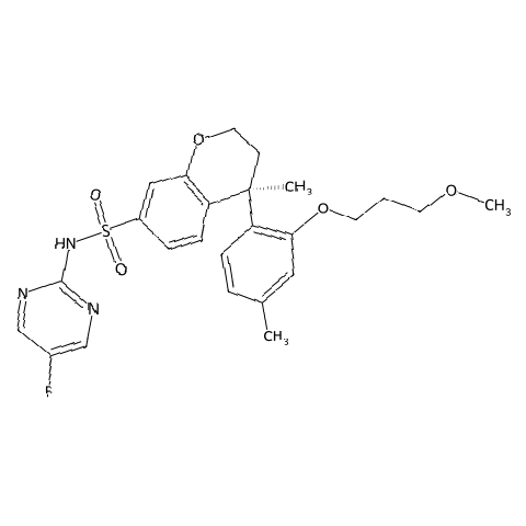 COCCCOc1cc(C)ccc1[C@]1(C)CCOc2cc(S(=O)(=O)Nc3ncc(F)cn3)ccc21